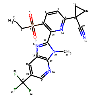 CCS(=O)(=O)c1ccc(C2(C#N)CC2)nc1-c1nc2cc(C(F)(F)F)cnc2n1C